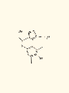 CCOC(=O)c1ccc(C(CC(C)(C)C)Sc2cc(C)c(Br)c(C)c2)s1